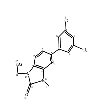 CCc1cc(Cl)cc(-c2ccc3c(n2)n(C)c(=O)n3CC(C)(C)C)c1